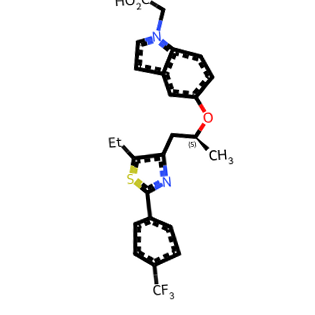 CCc1sc(-c2ccc(C(F)(F)F)cc2)nc1C[C@H](C)Oc1ccc2c(ccn2CC(=O)O)c1